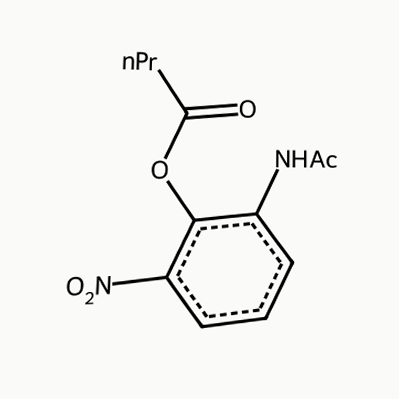 CCCC(=O)Oc1c(NC(C)=O)cccc1[N+](=O)[O-]